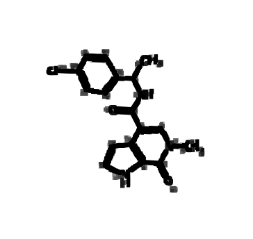 CC(NC(=O)c1cn(C)c(=O)c2[nH]ccc12)c1ccc(Cl)cc1